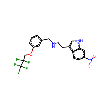 O=[N+]([O-])c1ccc2c(CCNCc3cccc(OCC(F)(F)C(F)(F)F)c3)c[nH]c2c1